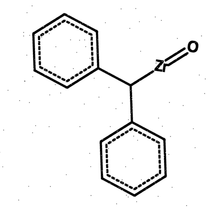 [O]=[Zr][CH](c1ccccc1)c1ccccc1